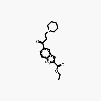 CCOC(=O)c1cc2cc(C(=O)CCN3CCCCC3)ccc2[nH]1